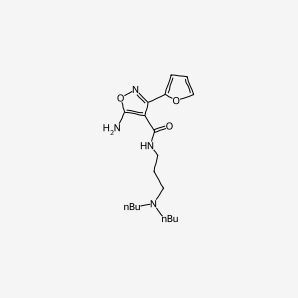 CCCCN(CCCC)CCCNC(=O)c1c(-c2ccco2)noc1N